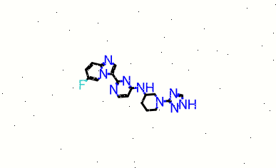 Fc1ccc2ncc(-c3nccc(NC4CCCN(c5nc[nH]n5)C4)n3)n2c1